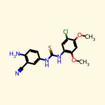 COc1cc(OC)c(NC(=S)Nc2ccc(N)c(C#N)c2)cc1Cl